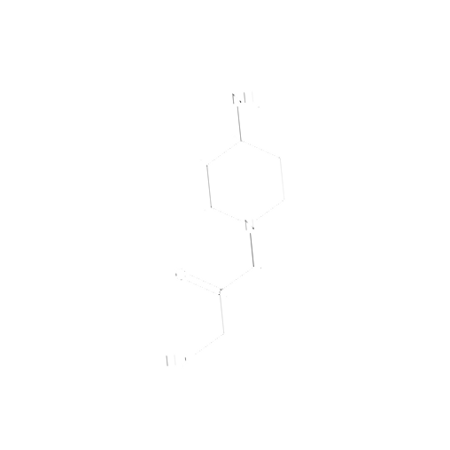 CCC(=O)CN1CCC(N)CC1